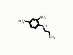 NCCNc1ccc(S(=O)(=O)O)cc1[N+](=O)[O-]